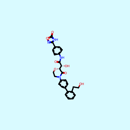 O=C(Nc1ccc(-c2noc(=O)[nH]2)cc1)[C@H](O)[C@H]1OCCN(c2ccc(-c3ccccc3CCO)cc2)C1=O